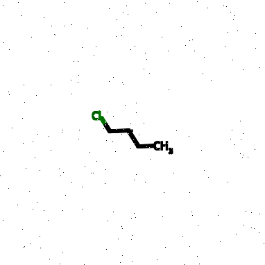 CC[CH]CCl